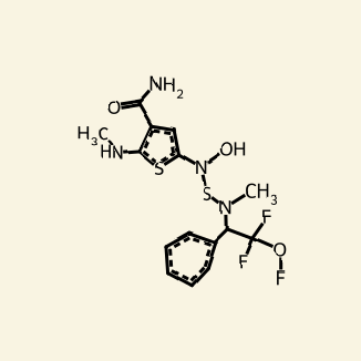 CNc1sc(N(O)SN(C)C(c2ccccc2)C(F)(F)OF)cc1C(N)=O